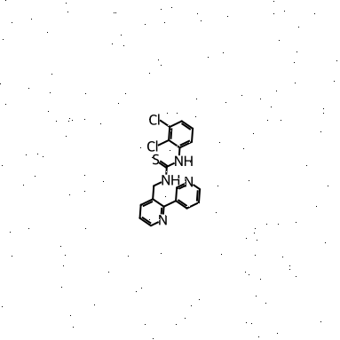 S=C(NCc1cccnc1-c1cccnc1)Nc1cccc(Cl)c1Cl